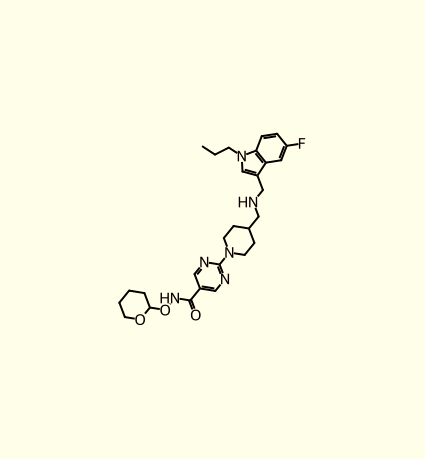 CCCn1cc(CNCC2CCN(c3ncc(C(=O)NOC4CCCCO4)cn3)CC2)c2cc(F)ccc21